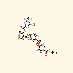 CCCCc1nc(Cl)cc(C(=O)Nc2ccccc2-c2nc3cc(COC4CCN(C(=O)OC(C)(C)C)CC4)cnc3s2)n1